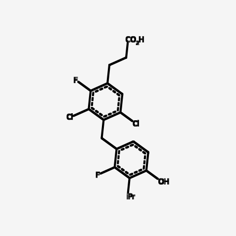 CC(C)c1c(O)ccc(Cc2c(Cl)cc(CCC(=O)O)c(F)c2Cl)c1F